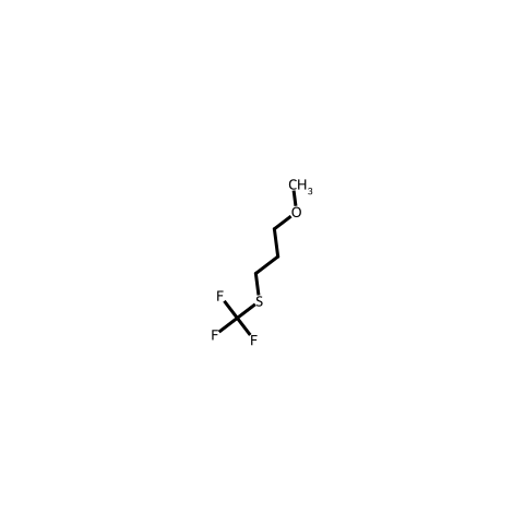 COCCCSC(F)(F)F